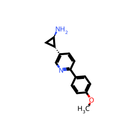 COc1ccc(-c2ccc([C@@H]3C[C@H]3N)cn2)cc1